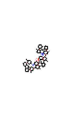 Cc1cc(C)c(-c2cccc(-c3c(C)cc(C)cc3C)c2B2c3ccc(N4c5ccc(C)cc5C5(c6ccccc6-c6ccccc65)c5cc(C)ccc54)cc3Oc3cc(N4c5ccc(C)cc5C5(c6ccccc6-c6ccccc65)c5cc(C)ccc54)ccc32)c(C)c1